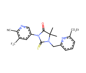 CCOC(=O)c1cccc(CN2C(=S)N(c3cnc(C#N)c(C(F)(F)F)c3)C(=O)C2(C)C)n1